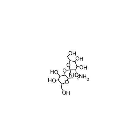 CC1OC(CO)C(O)C(O)C1OC1(N)OC(CO)C(O)C(O)C1ON